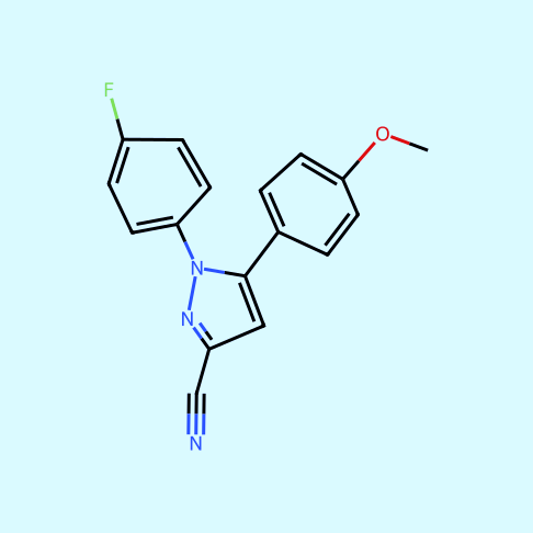 COc1ccc(-c2cc(C#N)nn2-c2ccc(F)cc2)cc1